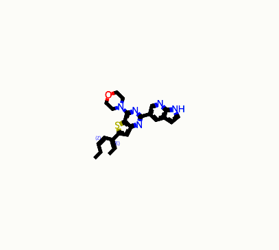 C/C=C(\C=C/CC)c1cc2nc(-c3cnc4[nH]ccc4c3)nc(N3CCOCC3)c2s1